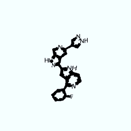 Fc1ccccc1-c1nccc2[nH]c(-c3n[nH]c4cnc(-c5cn[nH]c5)cc34)cc12